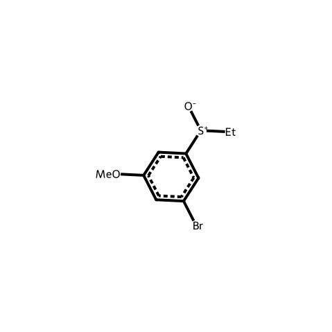 CC[S+]([O-])c1cc(Br)cc(OC)c1